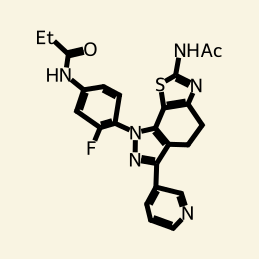 CCC(=O)Nc1ccc(-n2nc(-c3cccnc3)c3c2-c2sc(NC(C)=O)nc2CC3)c(F)c1